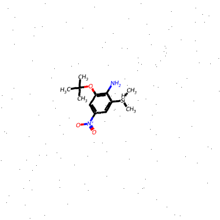 C[SiH](C)c1cc([N+](=O)[O-])cc(OC(C)(C)C)c1N